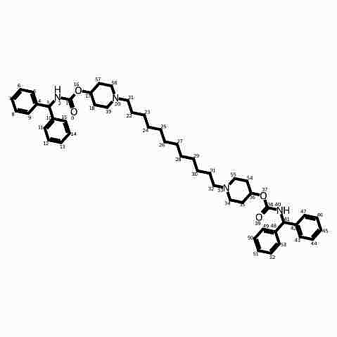 O=C(NC(c1ccccc1)c1ccccc1)OC1CCN(CCCCCCCCCCCCN2CCC(OC(=O)NC(c3ccccc3)c3ccccc3)CC2)CC1